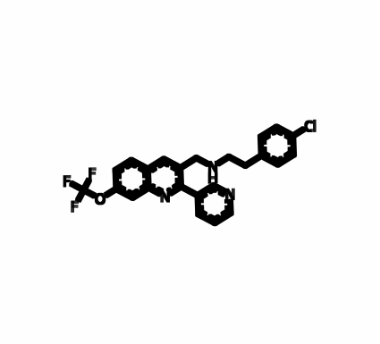 FC(F)(F)Oc1ccc2cc(CNCCc3ccc(Cl)cc3)c(-c3cccnc3)nc2c1